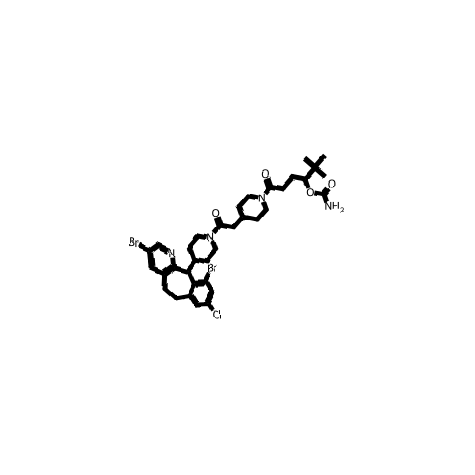 CC(C)(C)C(CCC(=O)N1CCC(CC(=O)N2CCC(C3c4ncc(Br)cc4CCc4cc(Cl)cc(Br)c43)CC2)CC1)OC(N)=O